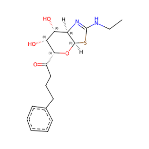 CCNC1=N[C@@H]2[C@@H](O)[C@@H](O)[C@@H](C(=O)CCCc3ccccc3)O[C@@H]2S1